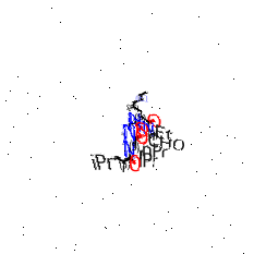 C/C=C/C[C@@H](C)C[C@@H](C(=O)N[C@H](C=O)CC)N(C)C(=O)CN(C)C(=O)[C@H](C(CCC)C(C)C)N(C)C(=O)[C@@H](C)CC(C)C